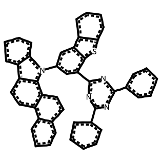 c1ccc(-c2nc(-c3ccccc3)nc(-c3cc(-n4c5ccccc5c5ccc6c7ccccc7ccc6c54)cc4c3sc3ccccc34)n2)cc1